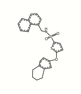 O=S(=O)(NCc1cccc2ccccc12)c1ccc(Oc2ccc3c(c2)CCCC3)s1